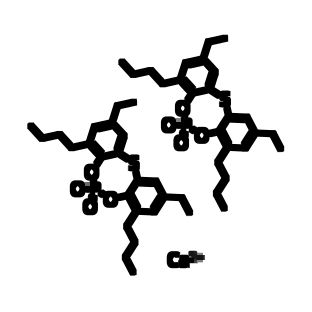 CCCCc1cc(CC)cc2c1OP(=O)([O-])Oc1c(CCCC)cc(CC)cc1S2.CCCCc1cc(CC)cc2c1OP(=O)([O-])Oc1c(CCCC)cc(CC)cc1S2.[Ca+2]